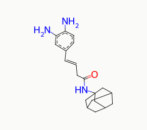 Nc1ccc(C=CCC(=O)NC23CC4CC(CC(C4)C2)C3)cc1N